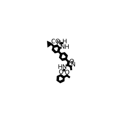 Cc1noc(-c2ccc(-c3ccc(C4(C(=O)O)CC4)c4nc[nH]c34)cc2)c1NC(=O)OC(C)c1ccccc1